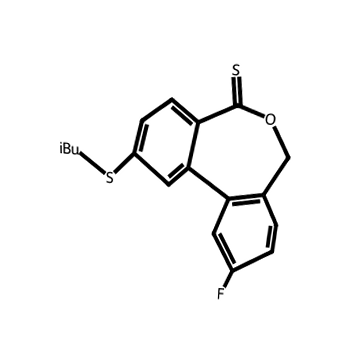 CCC(C)Sc1ccc2c(c1)-c1cc(F)ccc1COC2=S